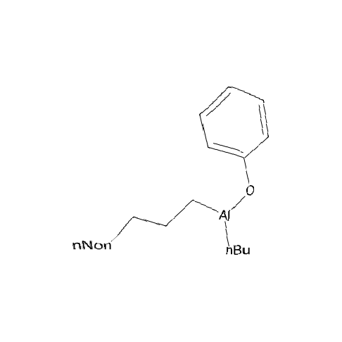 CCCCCCCCCCC[CH2][Al]([CH2]CCC)[O]c1ccccc1